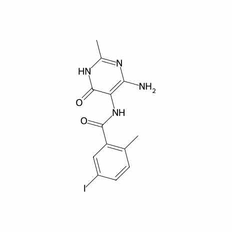 Cc1nc(N)c(NC(=O)c2cc(I)ccc2C)c(=O)[nH]1